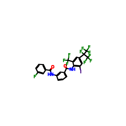 O=C(Nc1cccc(C(=O)Nc2c(I)cc(C(F)(C(F)(F)F)C(F)(F)F)cc2C(F)(F)F)c1)c1cccc(F)c1